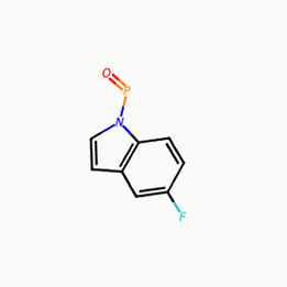 O=Pn1ccc2cc(F)ccc21